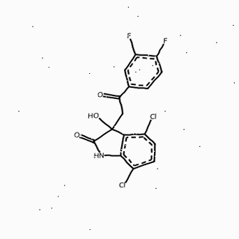 O=C(CC1(O)C(=O)Nc2c(Cl)ccc(Cl)c21)c1ccc(F)c(F)c1